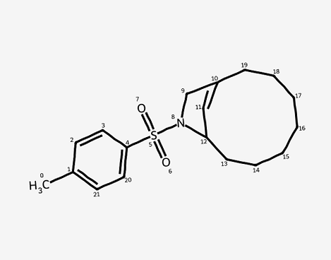 Cc1ccc(S(=O)(=O)N2CC3=CC2CCCCCCC3)cc1